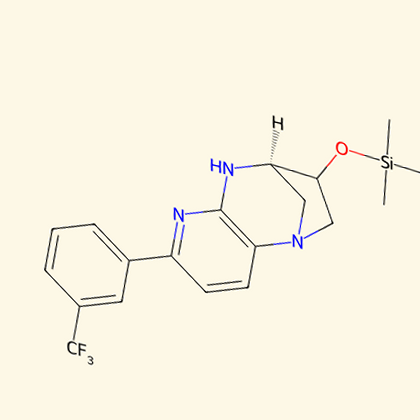 C[Si](C)(C)OC1CN2C[C@H]1Nc1nc(-c3cccc(C(F)(F)F)c3)ccc12